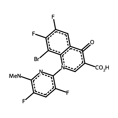 CNc1nc(-n2cc(C(=O)O)c(=O)c3cc(F)c(F)c(Br)c32)c(F)cc1F